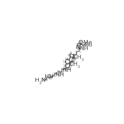 CCC(C)C(NC(=O)CCCC1CCC2C3CCC4CC(NCCCNCCNCCCN)CCC4(C)C3CCC12C)C(=O)OC